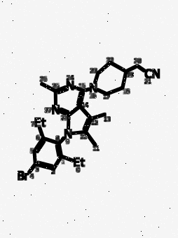 CCc1cc(Br)cc(CC)c1-n1c(C)c(C)c2c(N3CCC(CC#N)CC3)nc(C)nc21